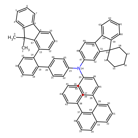 CC1(C)c2ccccc2-c2cccc(-c3ccccc3-c3ccc(N(c4ccc(-c5cccc6cccc(-c7ccccc7)c56)cc4)c4ccc5c(c4)C4(CCCCC4)c4ccccc4-5)cc3)c21